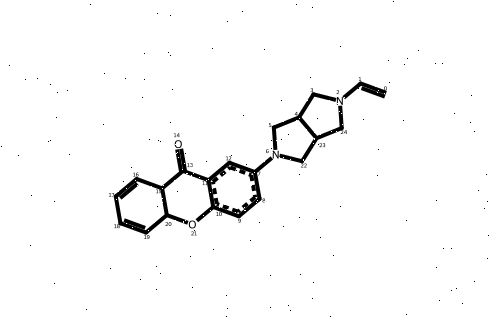 C=CN1CC2CN(c3ccc4c(c3)C(=O)C3C=CC=CC3O4)CC2C1